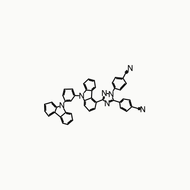 N#Cc1ccc(-c2nc(-c3cccc4c3c3ccccc3n4-c3cccc(-n4c5ccccc5c5ccccc54)c3)nn2-c2ccc(C#N)cc2)cc1